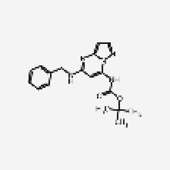 CC(C)(C)OC(=O)Nc1cc(NCc2ccccc2)nc2ccnn12